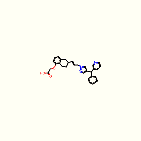 O=C(O)COc1cccc2c1CCC(/C=C/Cn1cc(C(c3ccccc3)c3cccnc3)cn1)C2